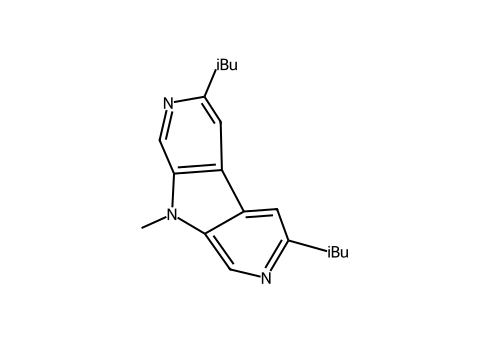 CCC(C)c1cc2c3cc(C(C)CC)ncc3n(C)c2cn1